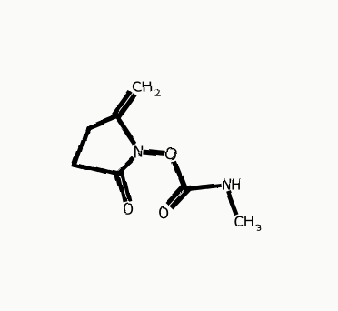 C=C1CCC(=O)N1OC(=O)NC